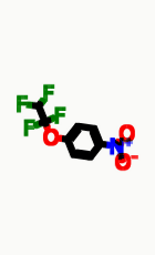 O=[N+]([O-])c1ccc(OC(F)(F)C(F)F)cc1